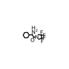 NC(C(=O)N1CC(F)(F)C(F)(F)C1)C1CCCCC1